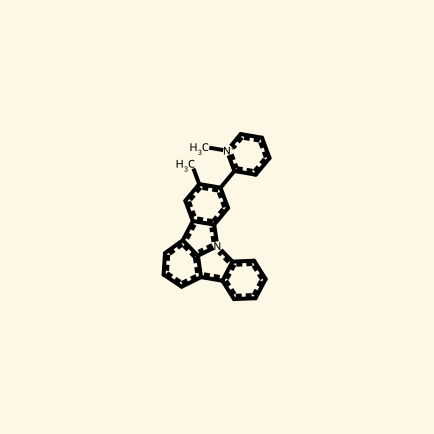 Cc1cc2c3cccc4c5ccccc5n(c2cc1-c1cccc[n+]1C)c43